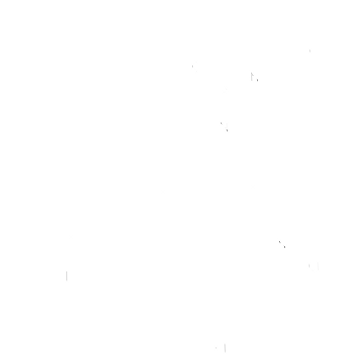 COCCN(C)CC1CC(c2ccc(C(F)F)cc2)CN(C(=O)N2CCOCC2)C1